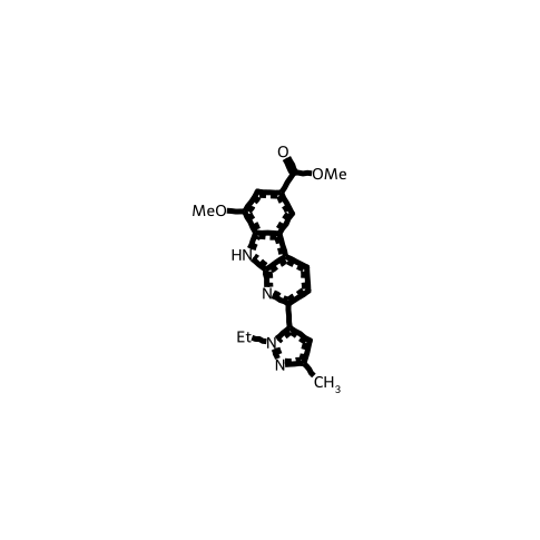 CCn1nc(C)cc1-c1ccc2c(n1)[nH]c1c(OC)cc(C(=O)OC)cc12